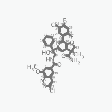 COc1cc(C(=O)NC[C@@](O)(c2ccccc2)c2cc3c(c(-c4cc(Cl)c(F)cc4F)n2)OC[C@]3(C)C(N)=O)cc2cc(Cl)nnc12